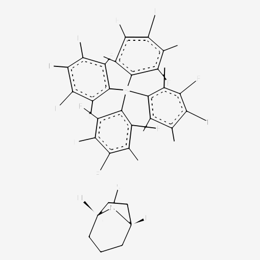 CN1[C@@H]2CCC[C@H]1CC2.Fc1c(F)c(F)c([B-](c2c(F)c(F)c(F)c(F)c2F)(c2c(F)c(F)c(F)c(F)c2F)c2c(F)c(F)c(F)c(F)c2F)c(F)c1F